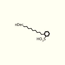 CCCCCCCCCCCCCCCCCCCc1ccccc1S(=O)(=O)O